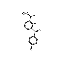 Cc1c(C(=O)c2ccc(Cl)cc2)cccc1C(C)C=O